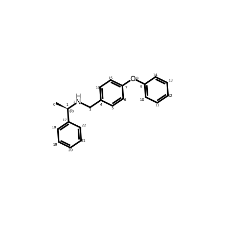 C[C@@H](NCc1ccc(Oc2ccccc2)cc1)c1ccccc1